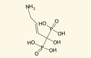 NCC=CC(O)(P(=O)(O)O)P(=O)(O)O